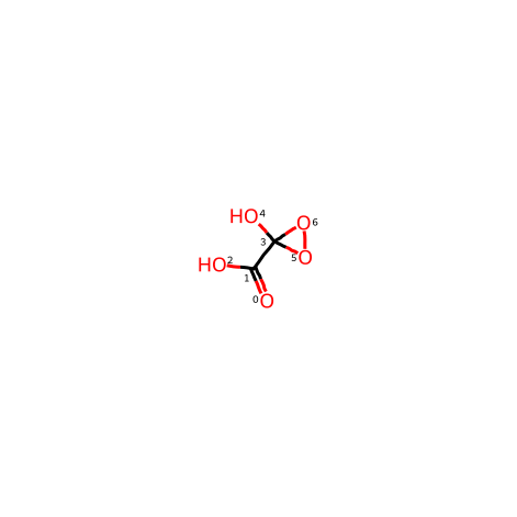 O=C(O)C1(O)OO1